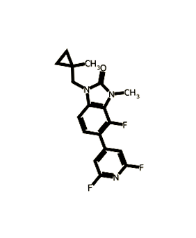 Cn1c(=O)n(CC2(C)CC2)c2ccc(-c3cc(F)nc(F)c3)c(F)c21